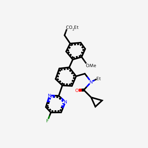 CCOC(=O)Cc1ccc(OC)c(-c2ccc(-c3ncc(F)cn3)cc2CN(CC)C(=O)C2CC2)c1